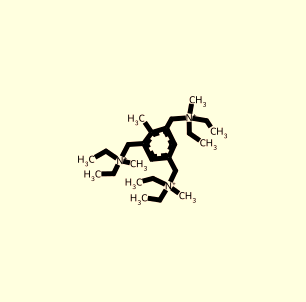 CC[N+](C)(CC)Cc1cc(C[N+](C)(CC)CC)c(C)c(C[N+](C)(CC)CC)c1